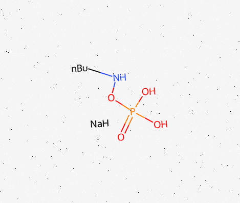 CCCCNOP(=O)(O)O.[NaH]